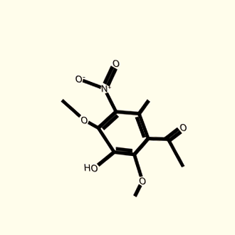 COc1c(O)c(OC)c([N+](=O)[O-])c(C)c1C(C)=O